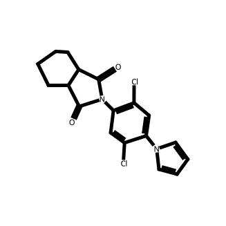 O=C1C2CCCCC2C(=O)N1c1cc(Cl)c(-n2cccc2)cc1Cl